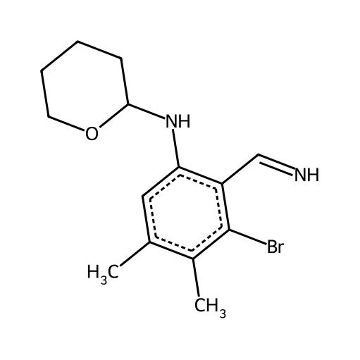 Cc1cc(NC2CCCCO2)c(C=N)c(Br)c1C